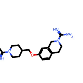 CC(=N)N1CCC(COc2ccc3c(c2)CN(C(=N)N)CC3)CC1